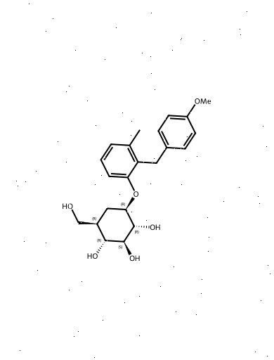 COc1ccc(Cc2c(C)cccc2O[C@@H]2C[C@H](CO)[C@@H](O)[C@H](O)[C@H]2O)cc1